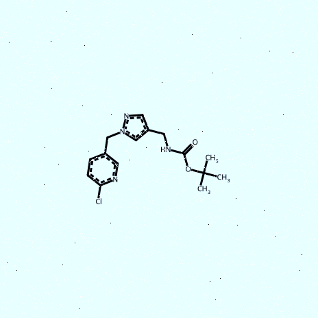 CC(C)(C)OC(=O)NCc1cnn(Cc2ccc(Cl)nc2)c1